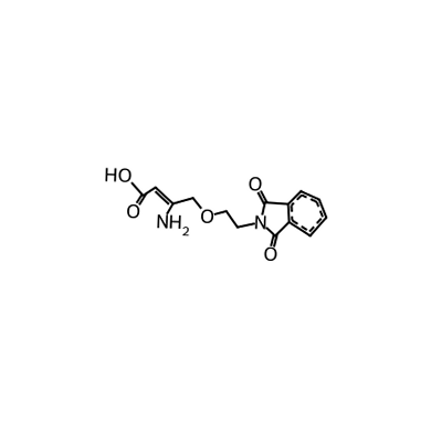 N/C(=C\C(=O)O)COCCN1C(=O)c2ccccc2C1=O